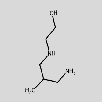 CC(CN)CNCCO